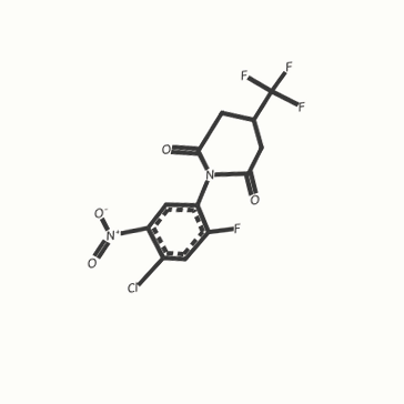 O=C1CC(C(F)(F)F)CC(=O)N1c1cc([N+](=O)[O-])c(Cl)cc1F